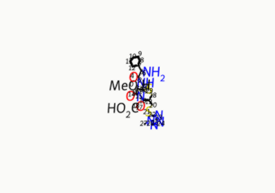 CO[C@@]1(NC(=O)C(N)c2ccccc2)C(=O)N2C(OC(=O)O)=C(CSc3nnnn3C)CS[C@H]21